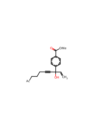 C=CC(O)(C#CCCCC(C)=O)c1ccc(C(=O)OC)cc1